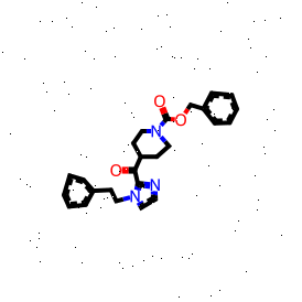 O=C(c1nccn1CCc1ccccc1)C1CCN(C(=O)OCc2ccccc2)CC1